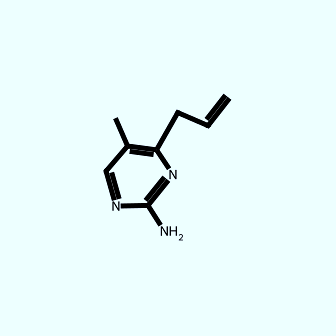 C=CCc1nc(N)ncc1C